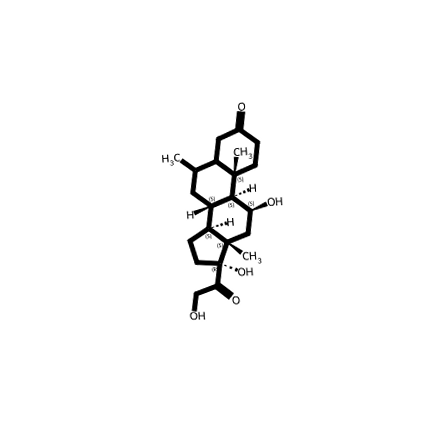 CC1C[C@@H]2[C@H]([C@@H](O)C[C@@]3(C)[C@H]2CC[C@]3(O)C(=O)CO)[C@@]2(C)CCC(=O)CC12